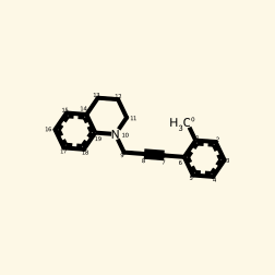 Cc1ccccc1C#CCN1CCCc2ccccc21